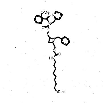 CCCCCCCCCCCCCCCCCCNC(=O)OCC1CC(COC(=O)N(Cc2ccccn2)C(=O)c2ccccc2OC)N1Cc1ccccc1